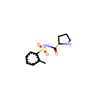 Cc1ccccc1S(=O)(=O)NC(=O)[C@@H]1CCCN1